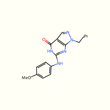 COc1ccc(Nc2nc3c(cnn3CC(C)C)c(=O)[nH]2)cc1